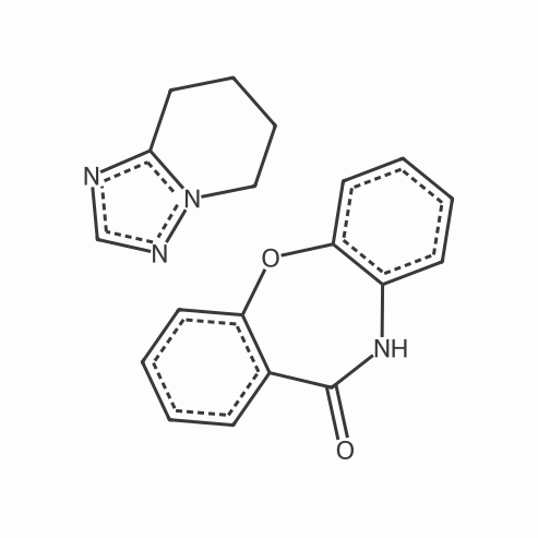 O=C1Nc2ccccc2Oc2ccccc21.c1nc2n(n1)CCCC2